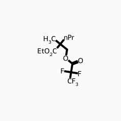 CCCC(C)(COC(=O)C(F)(F)C(F)(F)F)C(=O)OCC